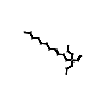 C=C[Si](CCC)(CCC)CCC=NCCCCCCC